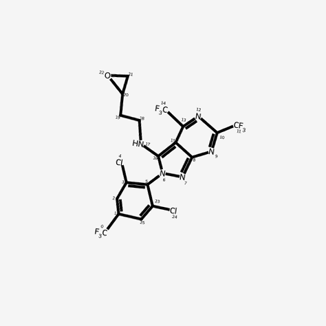 FC(F)(F)c1cc(Cl)c(-n2nc3nc(C(F)(F)F)nc(C(F)(F)F)c3c2NCCC2CO2)c(Cl)c1